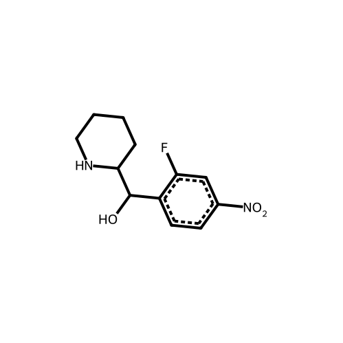 O=[N+]([O-])c1ccc(C(O)C2CCCCN2)c(F)c1